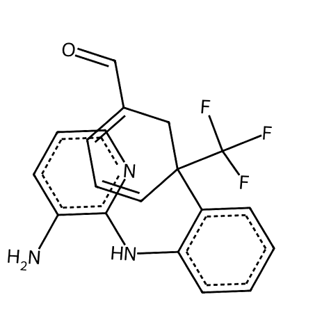 Nc1cccnc1Nc1ccccc1C1(C(F)(F)F)C=CC=C(C=O)C1